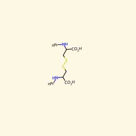 CCCNC(CSSCC(NCCC)C(=O)O)C(=O)O